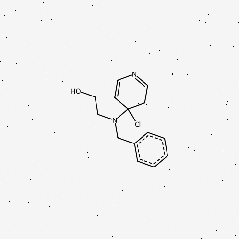 OCCN(Cc1ccccc1)C1(Cl)C=CN=CC1